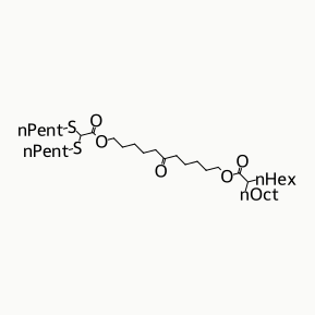 CCCCCCCCC(CCCCCC)C(=O)OCCCCCC(=O)CCCCCOC(=O)C(SCCCCC)SCCCCC